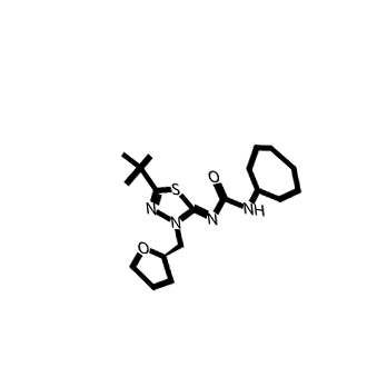 CC(C)(C)c1nn(C[C@H]2CCCO2)/c(=N/C(=O)NC2CCCCCC2)s1